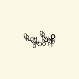 O=C(NCC(O)CN1CCOCC1)[C@H]1CC[C@H](Oc2cc(-n3c(C(F)F)nc4ccccc43)nc(N3CCOCC3)n2)CC1